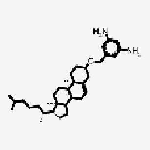 CC(C)CCC[C@@H](C)[C@H]1CCC2C3CC=C4CC(OCc5cc(N)cc(N)c5)CC[C@]4(C)C3CC[C@@]21C